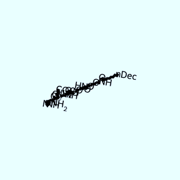 CCCCCCCCCCCCCCCCCC(=O)NCCOCCOCC(=O)NCCOCCOCC(=O)NCCCC[C@H](CC(=O)[C@@H](N)Cc1cnc[nH]1)C(=O)NCC(=O)O